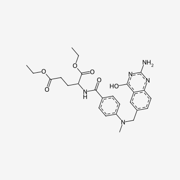 CCOC(=O)CCC(NC(=O)c1ccc(N(C)Cc2ccc3nc(N)nc(O)c3c2)cc1)C(=O)OCC